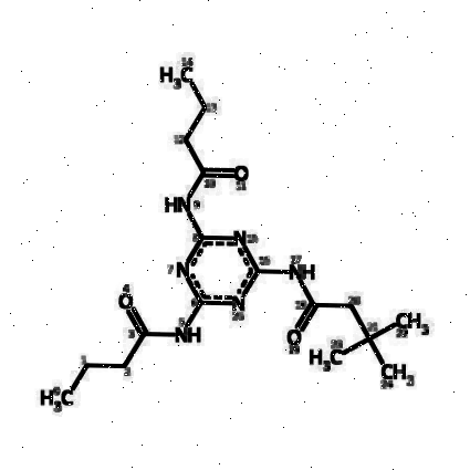 CCCC(=O)Nc1nc(NC(=O)CCC)nc(NC(=O)CC(C)(C)C)n1